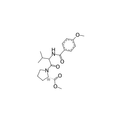 COC(=O)[C@@H]1CCCN1C(=O)C(NC(=O)c1ccc(OC)cc1)C(C)C